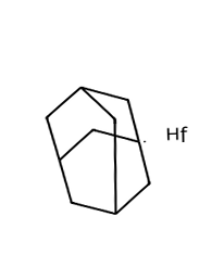 C1[C]2CC3CC1CC(C2)C3.[Hf]